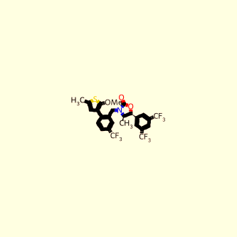 COc1sc(C)cc1-c1ccc(C(F)(F)F)cc1CN1C(=O)O[C@H](c2cc(C(F)(F)F)cc(C(F)(F)F)c2)[C@@H]1C